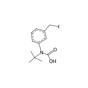 CC(C)(C)N(C(=O)O)c1cccc(CI)c1